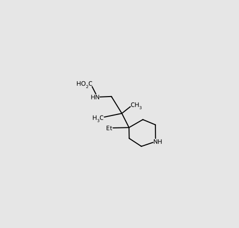 CCC1(C(C)(C)CNC(=O)O)CCNCC1